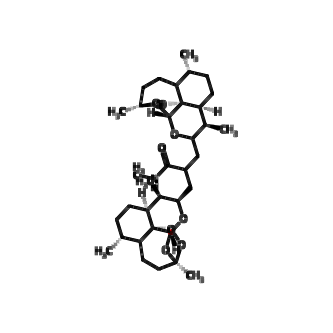 CNC(=O)C(CC1O[C@@H]2O[C@]3(C)CCC4[C@H](C)CC[C@@H]([C@H]1C)[C@]42OO3)C[C@H]1O[C@@H]2O[C@]3(C)CCC4[C@H](C)CC[C@@H]([C@H]1C)[C@]42OO3